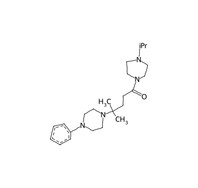 CC(C)N1CCN(C(=O)CCC(C)(C)N2CCN(c3ccccc3)CC2)CC1